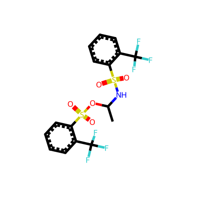 CC(NS(=O)(=O)c1ccccc1C(F)(F)F)OS(=O)(=O)c1ccccc1C(F)(F)F